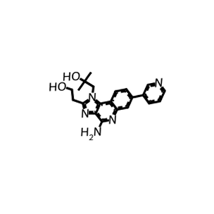 CC(C)(O)Cn1c(CCO)nc2c(N)nc3cc(-c4cccnc4)ccc3c21